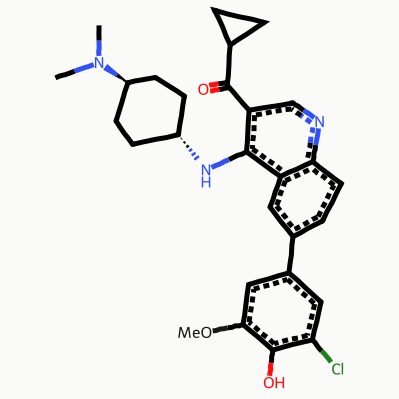 COc1cc(-c2ccc3ncc(C(=O)C4CC4)c(N[C@H]4CC[C@H](N(C)C)CC4)c3c2)cc(Cl)c1O